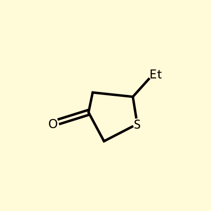 CCC1CC(=O)CS1